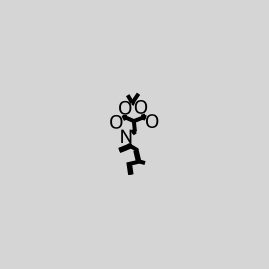 C=C/C(C)=C\C(=C)/N=C/C1C(=O)OC(C)(C)OC1=O